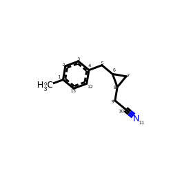 Cc1ccc(CC2CC2CC#N)cc1